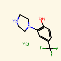 Cl.Oc1ccc(C(F)(F)F)cc1N1CCNCC1